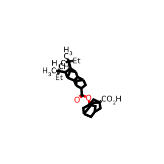 CCC(C)(C)C1C2CC(C3C4CC(CC4C(=O)OC45CC6CC(C4)CC(C(=O)O)(C6)C5)C23)C1C(C)(C)CC